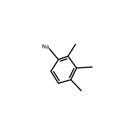 Cc1cc[c]([Na])c(C)c1C